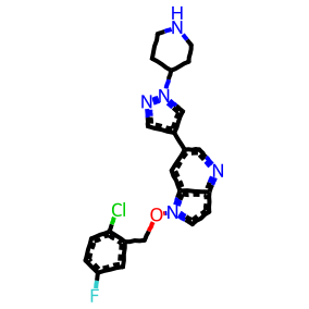 Fc1ccc(Cl)c(COn2ccc3ncc(-c4cnn(C5CCNCC5)c4)cc32)c1